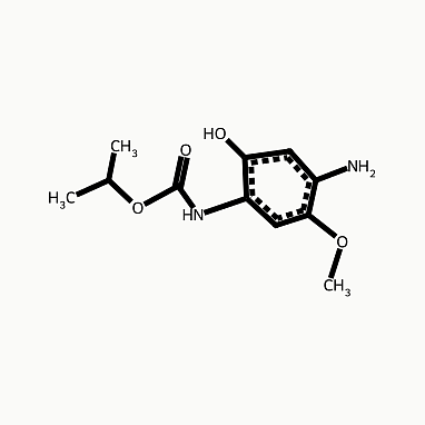 COc1cc(NC(=O)OC(C)C)c(O)cc1N